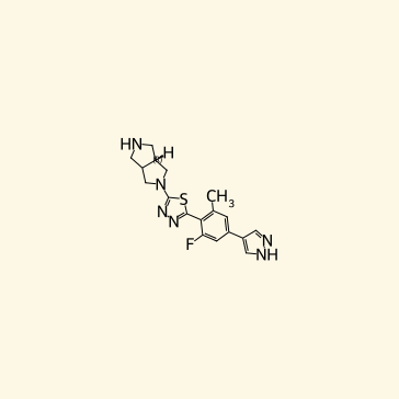 Cc1cc(-c2cn[nH]c2)cc(F)c1-c1nnc(N2CC3CNC[C@@H]3C2)s1